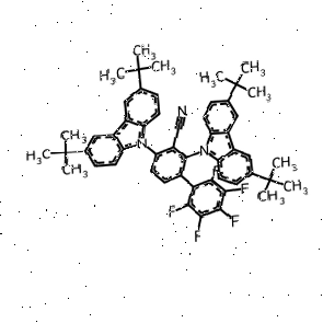 CC(C)(C)c1ccc2c(c1)c1cc(C(C)(C)C)ccc1n2-c1ccc(-c2c(F)c(F)c(F)c(F)c2F)c(-n2c3ccc(C(C)(C)C)cc3c3cc(C(C)(C)C)ccc32)c1C#N